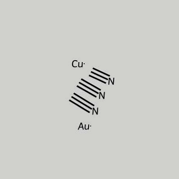 C#N.C#N.C#N.[Au].[Cu]